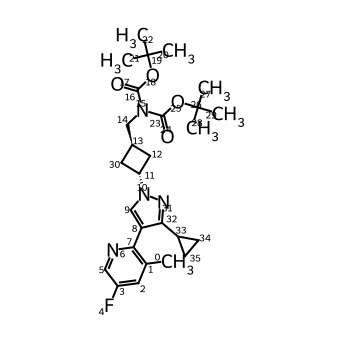 Cc1cc(F)cnc1-c1cn([C@H]2C[C@H](CN(C(=O)OC(C)(C)C)C(=O)OC(C)(C)C)C2)nc1C1CC1